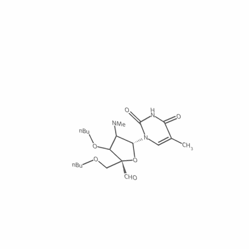 CCCCOC[C@@]1(C=O)O[C@@H](n2cc(C)c(=O)[nH]c2=O)C(NC)C1OCCCC